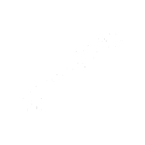 O=c1cc(CN2CCOCC2)occ1OCCCCCSCc1ccc(C(F)(F)F)cc1